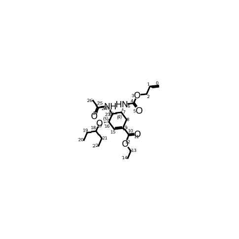 C=CCOC(=O)N[C@@H]1CC(C(=O)OCC)=C[C@H](OC(CC)CC)[C@H]1NC(C)=O